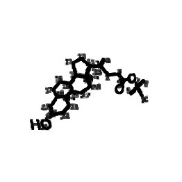 CC(CCC(=O)OC(C)(C)C)C1CCC2C3CCC4C[C@H](O)CC[C@]4(C)C3CC[C@]12C